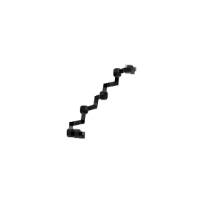 CC(C)COCCOCCOCCOC(C)C